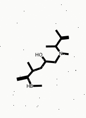 C=C(BC)C(C)CC(O)CN(C)C(C)C(=C)C